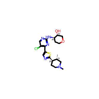 C[C@@H]1CN(C)CC[C@H]1c1ncc(-c2nc(N[C@@H]3CCOC[C@H]3O)ncc2Cl)s1